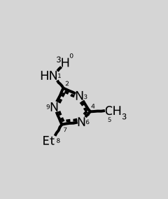 [3H]Nc1nc(C)nc(CC)n1